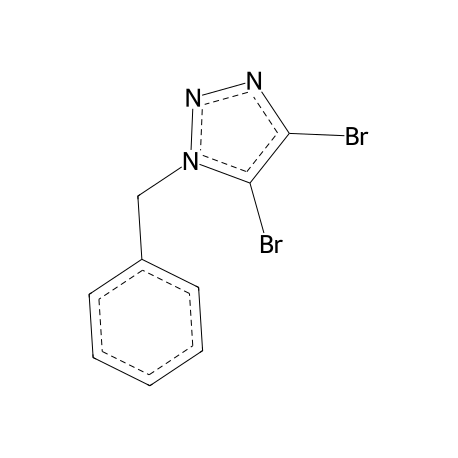 Brc1nnn(Cc2ccccc2)c1Br